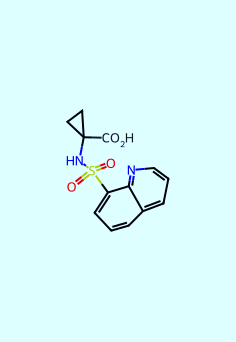 O=C(O)C1(NS(=O)(=O)c2cccc3cccnc23)CC1